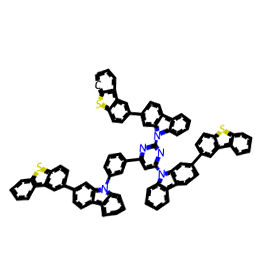 c1cc(-c2cc(-n3c4ccccc4c4ccc(-c5ccc6sc7ccccc7c6c5)cc43)nc(-n3c4ccccc4c4ccc(-c5ccc6sc7ccccc7c6c5)cc43)n2)cc(-n2c3ccccc3c3ccc(-c4ccc5sc6ccccc6c5c4)cc32)c1